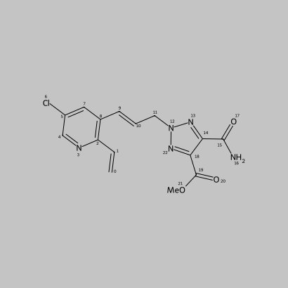 C=Cc1ncc(Cl)cc1/C=C/Cn1nc(C(N)=O)c(C(=O)OC)n1